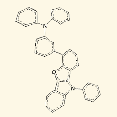 c1ccc(N(c2ccccc2)c2cccc(-c3cccc4c3oc3c5ccccc5n(-c5ccccc5)c43)c2)cc1